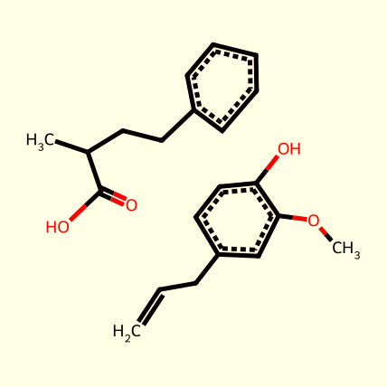 C=CCc1ccc(O)c(OC)c1.CC(CCc1ccccc1)C(=O)O